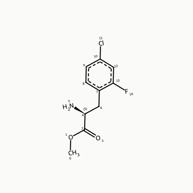 COC(=O)[C@@H](N)Cc1ccc(Cl)cc1F